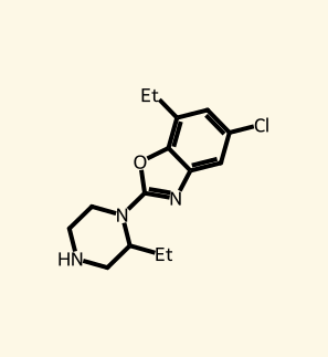 CCc1cc(Cl)cc2nc(N3CCNCC3CC)oc12